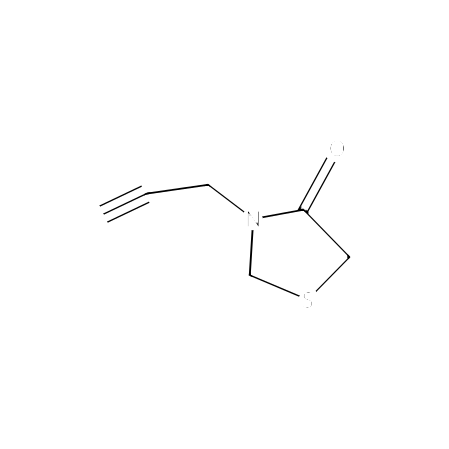 C#CCN1CSCC1=O